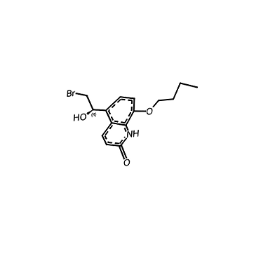 CCCCOc1ccc([C@@H](O)CBr)c2ccc(=O)[nH]c12